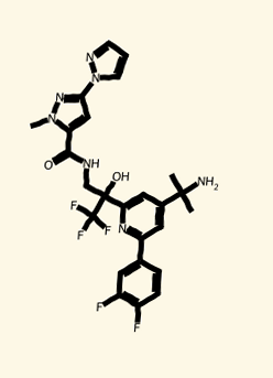 Cn1nc(-n2cccn2)cc1C(=O)NCC(O)(c1cc(C(C)(C)N)cc(-c2ccc(F)c(F)c2)n1)C(F)(F)F